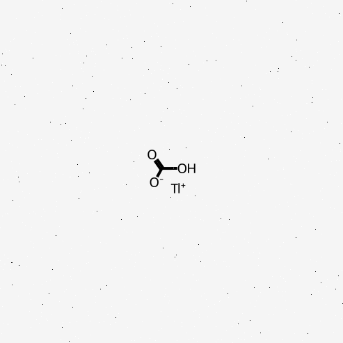 O=C([O-])O.[Tl+]